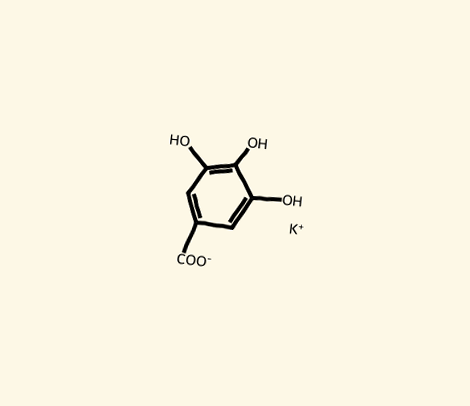 O=C([O-])c1cc(O)c(O)c(O)c1.[K+]